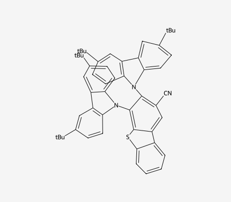 CC(C)(C)c1ccc2c(c1)c1cc(C(C)(C)C)ccc1n2-c1c(C#N)cc2c(sc3ccccc32)c1-n1c2ccc(C(C)(C)C)cc2c2cc(C(C)(C)C)ccc21